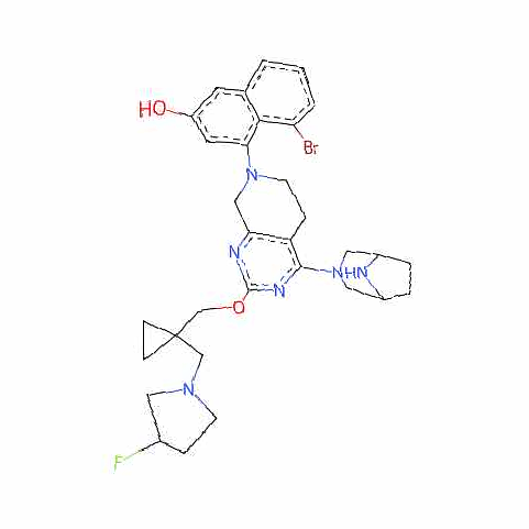 Oc1cc(N2CCc3c(nc(OCC4(CN5CCC(F)C5)CC4)nc3N3CC4CCC(C3)N4)C2)c2c(Br)cccc2c1